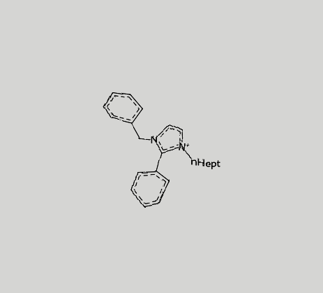 CCCCCCC[n+]1ccn(Cc2ccccc2)c1-c1ccccc1